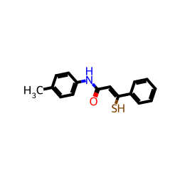 Cc1ccc(NC(=O)C=C(S)c2ccccc2)cc1